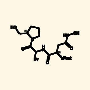 CCCCC[C@H](CC(=O)NO)C(=O)NC(C(=O)N1CCC[C@H]1CO)C(C)C